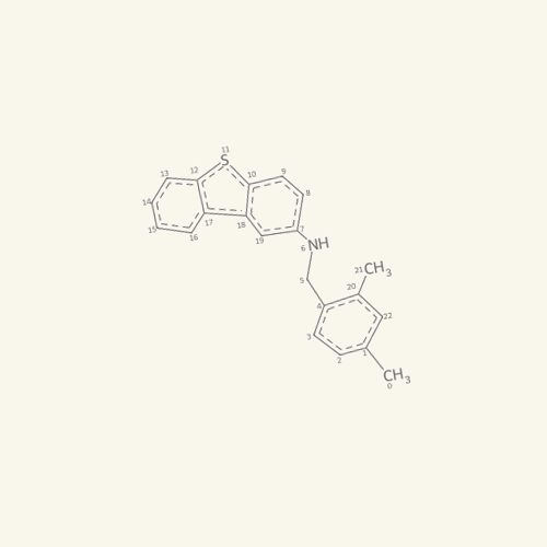 Cc1ccc(CNc2ccc3sc4ccccc4c3c2)c(C)c1